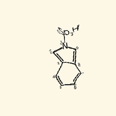 O=S(=O)(O)n1cc2ccccc2c1